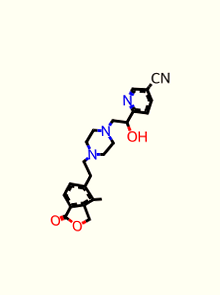 Cc1c(CCN2CCN(CC(O)c3ccc(C#N)cn3)CC2)ccc2c1COC2=O